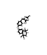 CC1=NC(=Cc2ccc(Oc3ccc4c(c3)C(C)(C)CCC4(C)C)cc2)C(=O)O1